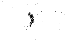 CCCCC1COC(C2CC=C(c3ccc(C(F)(F)F)cc3)CC2)OC1